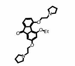 CCOc1cc(OCCN2CCCC2)cc2c1-c1c(OCCN3CCCC3)cccc1C2=O